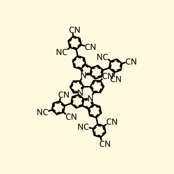 N#Cc1cc(C#N)c(-c2ccc3c(c2)c2cc(-c4c(C#N)cc(C#N)cc4C#N)ccc2n3-c2ccc(C#N)cc2-c2ncccc2-n2c3ccc(-c4c(C#N)cc(C#N)cc4C#N)cc3c3cc(-c4c(C#N)cc(C#N)cc4C#N)ccc32)c(C#N)c1